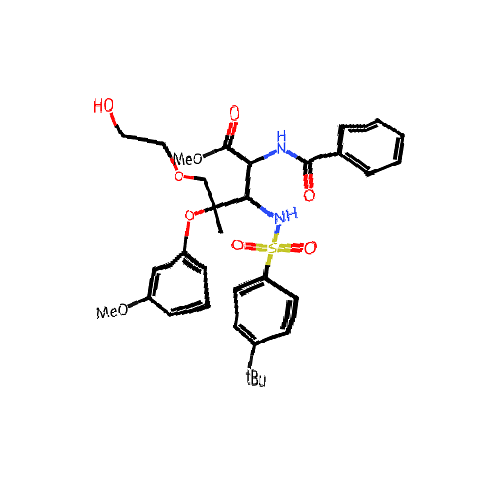 COC(=O)C(NC(=O)c1ccccc1)C(NS(=O)(=O)c1ccc(C(C)(C)C)cc1)C(C)(COCCO)Oc1cccc(OC)c1